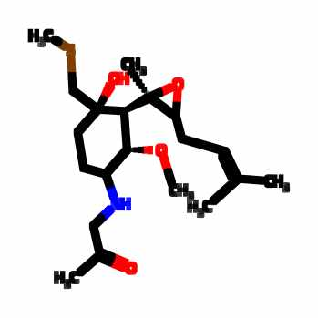 CO[C@@H]1C(NCC(C)=O)CC[C@](O)(CSC)[C@H]1[C@@]1(C)OC1CC=C(C)C